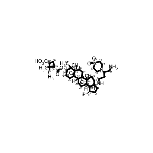 CC(C)[C@@H]1CC[C@]2(NCCC(CN)N3CCS(=O)(=O)CC3)CC[C@]3(C)[C@H](CC[C@@H]4[C@@]5(C)CC[C@H](OC(=O)[C@H]6C[C@@H](C(=O)O)C6(C)C)C(C)(C)[C@@H]5CC[C@]43C)[C@@H]12